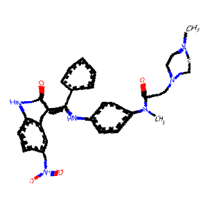 CN1CCN(CC(=O)N(C)c2ccc(NC(=C3C(=O)Nc4ccc([N+](=O)[O-])cc43)c3ccccc3)cc2)CC1